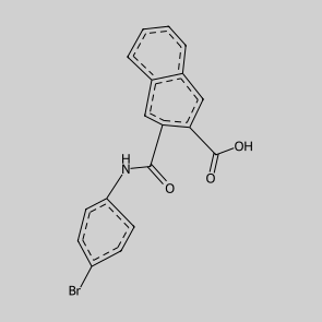 O=C(O)c1cc2ccccc2cc1C(=O)Nc1ccc(Br)cc1